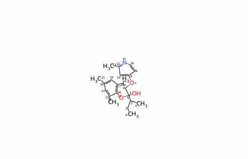 CCC(C)C(O)(COc1ccnc(C)c1)Oc1c(C)cc(C)cc1C